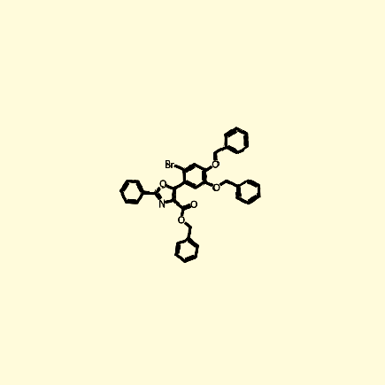 O=C(OCc1ccccc1)C1N=C(c2ccccc2)OC1c1cc(OCc2ccccc2)c(OCc2ccccc2)cc1Br